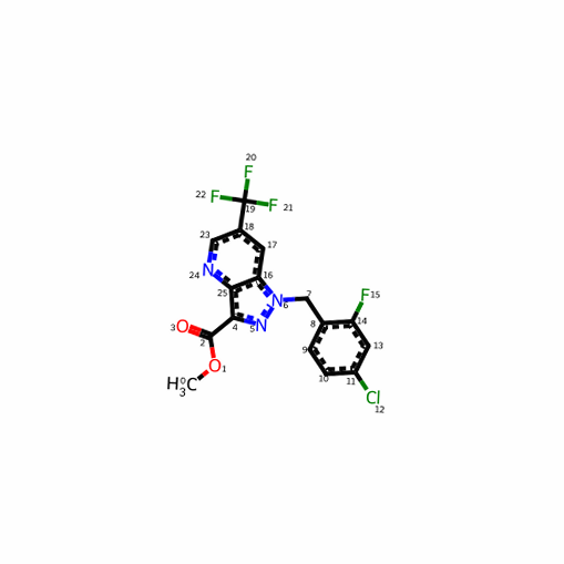 COC(=O)c1nn(Cc2ccc(Cl)cc2F)c2cc(C(F)(F)F)cnc12